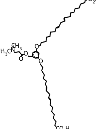 CN(C)CCC(=O)OCc1cc(OCCCCCCCC=CCC=CCCCCCCCC(=O)O)cc(OCCCCCCCC=CCC=CCCCCCCCC(=O)O)c1